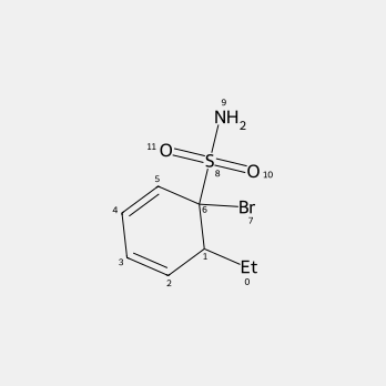 CCC1C=CC=CC1(Br)S(N)(=O)=O